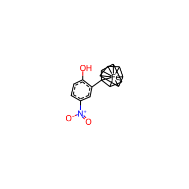 O=[N+]([O-])c1ccc(O)c([C]23[CH]4[CH]5[CH]6[CH]2[Fe]56432789[CH]3[CH]2[CH]7[CH]8[CH]39)c1